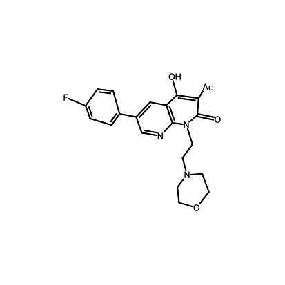 CC(=O)c1c(O)c2cc(-c3ccc(F)cc3)cnc2n(CCN2CCOCC2)c1=O